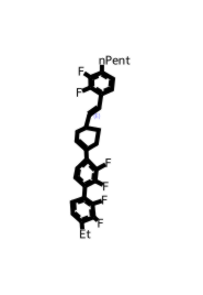 CCCCCc1ccc(/C=C/C2CC=C(c3ccc(-c4ccc(CC)c(F)c4F)c(F)c3F)CC2)c(F)c1F